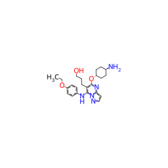 CCOc1ccc(Nc2c(CCCO)c(O[C@H]3CC[C@H](N)CC3)nc3ccnn23)cc1